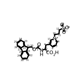 O=C(NC(Cc1ccc[n+](CCCS(=O)(=O)[O-])c1)C(=O)O)OCC1c2ccccc2-c2ccccc21